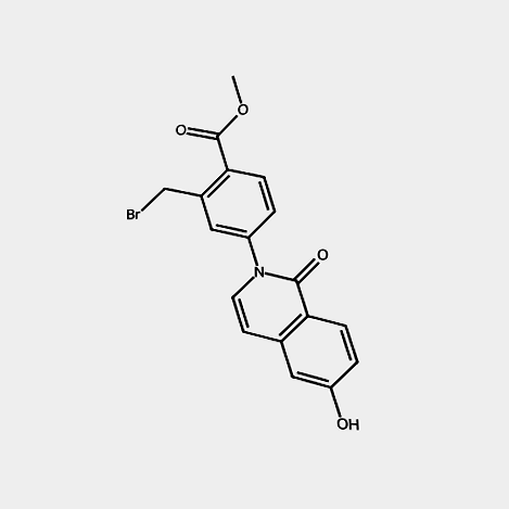 COC(=O)c1ccc(-n2ccc3cc(O)ccc3c2=O)cc1CBr